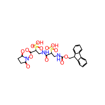 O=C(NCC(C(=O)NCC(C(=O)ON1C(=O)CCC1=O)S(=O)(=O)O)S(=O)(=O)O)OCC1c2ccccc2-c2ccccc21